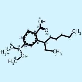 CCCCCC(CC)c1cc(N(OC)OC)ccc1C(=O)O